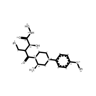 CC(C)CC(C(=O)N1CCN(c2ccc(OC(C)C)cc2)C[C@H]1C)[C@H](O)C(=O)NO